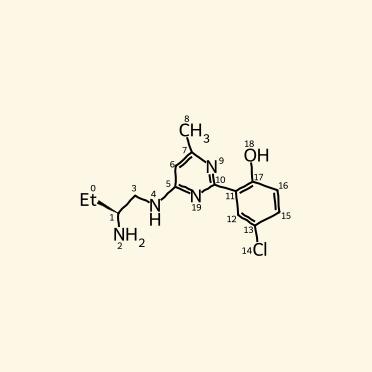 CC[C@H](N)CNc1cc(C)nc(-c2cc(Cl)ccc2O)n1